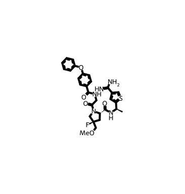 COC[C@@]1(F)C[C@@H](C(=O)N[C@H](C)c2cc(C(=N)N)cs2)N(C(=O)CNC(=O)c2ccc(Oc3ccccc3)cc2)C1